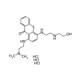 CN(C)CCNc1ccc(NCCNCCO)c2sc3ccccc3c(=O)c12.Cl.Cl.Cl